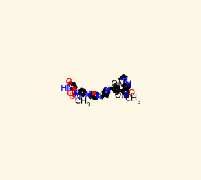 COc1cc(-c2cn(C)c(=O)c3cnc(N4CCC4)cc23)c(OC)cc1CN1CCC(CN2CCC3(CC2)CN(c2ccc4c(c2)n(C)c(=O)n4C2CCC(=O)NC2=O)C3)CC1